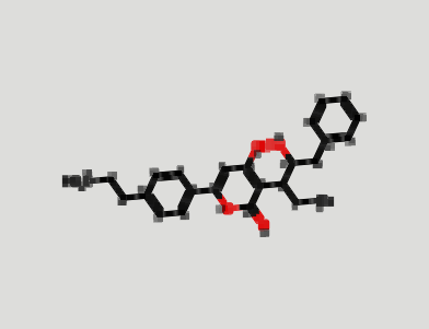 CCC(C)CC(c1c(O)cc(-c2ccc(CCC(=O)O)cc2)oc1=O)C(O)Cc1ccccc1